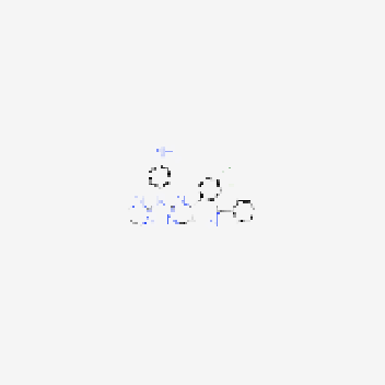 Nc1ccc(N(c2ncccn2)c2ncc3c(n2)-c2ccc(Cl)cc2C(c2c(F)cccc2F)=NC3)cc1